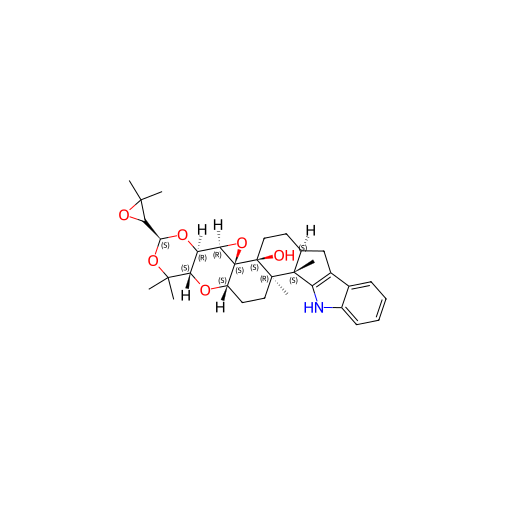 CC1(C)OC1[C@H]1O[C@H]2[C@H]3O[C@@]34[C@H](CC[C@@]3(C)[C@@]4(O)CC[C@H]4Cc5c([nH]c6ccccc56)[C@@]43C)O[C@@H]2C(C)(C)O1